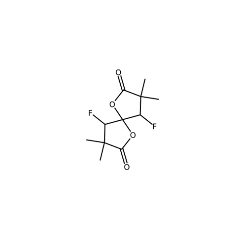 CC1(C)C(=O)OC2(OC(=O)C(C)(C)C2F)C1F